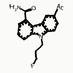 CC(=O)c1ccc2c(c1)c1c(C(N)=O)cccc1n2CCCF